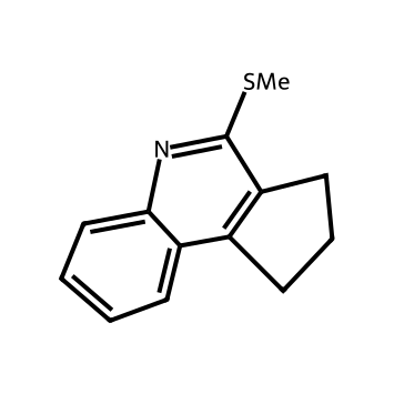 CSc1nc2ccccc2c2c1CCC2